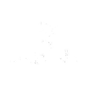 CS(=O)(=O)c1ccc(N2CCC(CC(=O)NC3(C#N)CC3)C(NC(=O)c3cccc(Cl)c3)C2)nc1